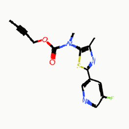 CC#CCOC(=O)N(C)c1sc(-c2cncc(F)c2)nc1C